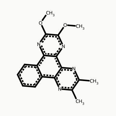 COc1nc2c3ccccc3c3nc(C)c(C)nc3c2nc1OC